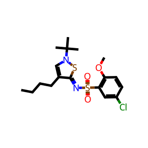 CCCCc1cn(C(C)(C)C)s/c1=N\S(=O)(=O)c1cc(Cl)ccc1OC